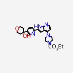 CCOC(=O)N1CCN(c2ccnc3[nH]c(-c4ccc(C5(O)CCOCC5)cn4)cc23)CC1